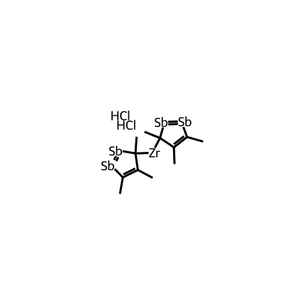 C[C]1=C(C)[C](C)([Zr][C]2(C)[Sb]=[Sb][C](C)=C2C)[Sb]=[Sb]1.Cl.Cl